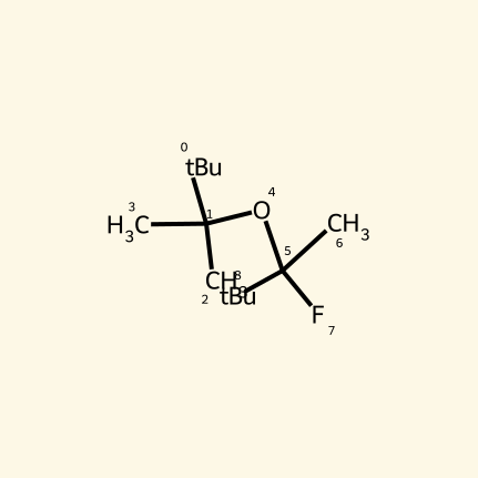 CC(C)(C)C(C)(C)OC(C)(F)C(C)(C)C